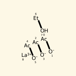 CC(=O)[O-].CC(=O)[O-].CC(=O)[O-].CCO.[La+3]